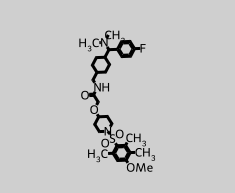 COc1cc(C)c(S(=O)(=O)N2CCC(OCC(=O)NCC3CCC(C(c4ccc(F)cc4)N(C)C)CC3)CC2)c(C)c1C